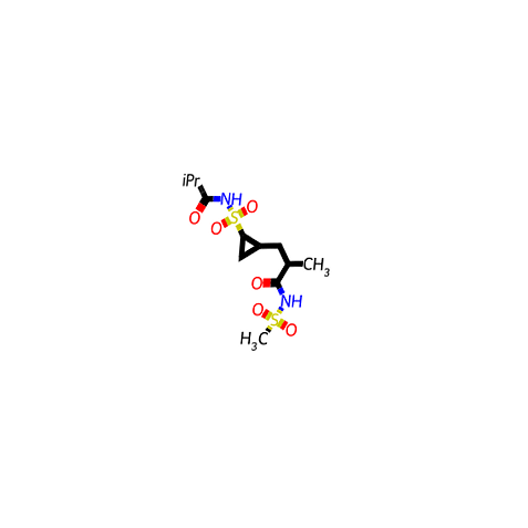 CC(C)C(=O)NS(=O)(=O)C1CC1CC(C)C(=O)NS(C)(=O)=O